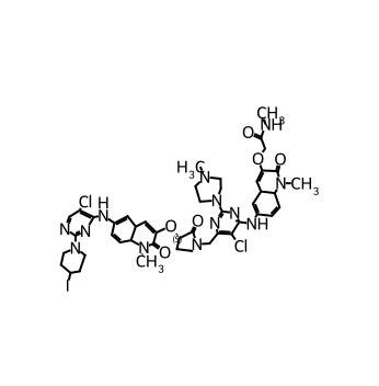 CNC(=O)COC1=CC2C=C(Nc3nc(N4CCN(C)CC4)nc(CN4CC[C@H](OC5=CC6C=C(Nc7nc(N8CCC(I)CC8)ncc7Cl)C=CC6N(C)C5=O)C4=O)c3Cl)C=CC2N(C)C1=O